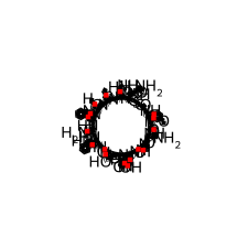 CCCC[C@H]1C(=O)N(C)[C@@H](CCCC)C(=O)N[C@@H](CCCN)C(=O)N[C@H](C(=O)NCC(N)=O)CSCC(=O)N[C@@H](Cc2ccc(OC)cc2)C(=O)N(C)[C@@H](C)C(=O)N[C@@H](CC(N)=O)C(=O)N2CCC[C@H]2C(=O)N[C@@H](Cc2cnc[nH]2)C(=O)N[C@@H](CCC(=O)O)C(=O)C2C[C@H](O)C[C@H]2C(=O)N[C@@H](Cc2c[nH]c3ccccc23)C(=O)N[C@@H](CCN)C(=O)N[C@@H](Cc2c[nH]c3ccccc23)C(=O)N1C